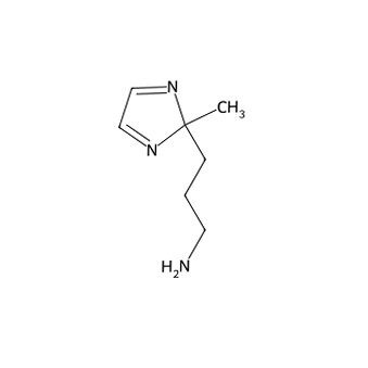 CC1(CCCN)N=CC=N1